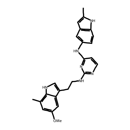 COc1cc(C)c2[nH]cc(CCNc3nccc(Nc4ccc5[nH]c(C)cc5c4)n3)c2c1